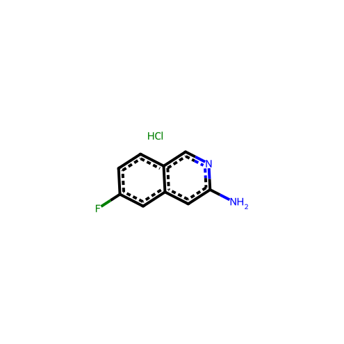 Cl.Nc1cc2cc(F)ccc2cn1